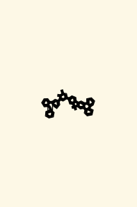 CC1C=C(c2ccc3c(c2)C(C)(C)c2cc4c5ccccc5c5ccccc5c4cc2-3)C=C(c2ccc3c(c2)c2ccccc2n3-c2ccccc2)C1C